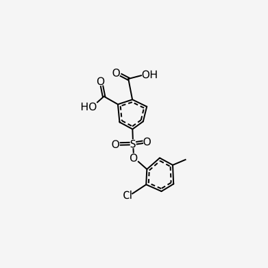 Cc1ccc(Cl)c(OS(=O)(=O)c2ccc(C(=O)O)c(C(=O)O)c2)c1